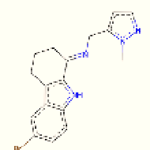 Cn1nccc1C/N=C1\CCCc2c1[nH]c1ccc(Br)cc21